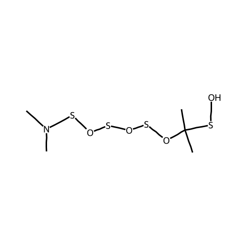 CN(C)SOSOSOC(C)(C)SO